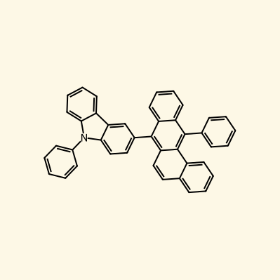 c1ccc(-c2c3ccccc3c(-c3ccc4c(c3)c3ccccc3n4-c3ccccc3)c3ccc4ccccc4c23)cc1